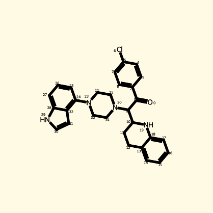 O=C(c1ccc(Cl)cc1)C(C1CCc2ccccc2N1)N1CCN(c2cccc3[nH]ccc23)CC1